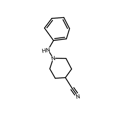 N#CC1CCN(Nc2ccccc2)CC1